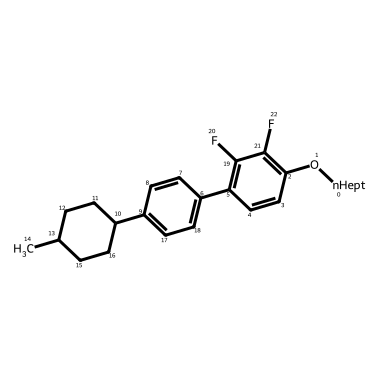 CCCCCCCOc1ccc(-c2ccc(C3CCC(C)CC3)cc2)c(F)c1F